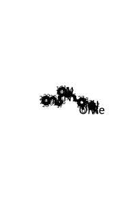 COc1cc(/C=C/c2nc3n(n2)CCCC3C2CCCN2Cc2ccccc2)ccc1-n1cnc(C)c1